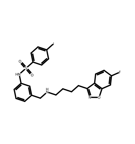 O=S(=O)(Nc1cccc(CNCCCCc2noc3cc(F)ccc23)c1)c1ccc(I)cc1